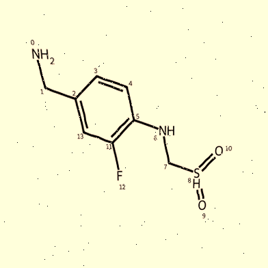 NCc1ccc(NC[SH](=O)=O)c(F)c1